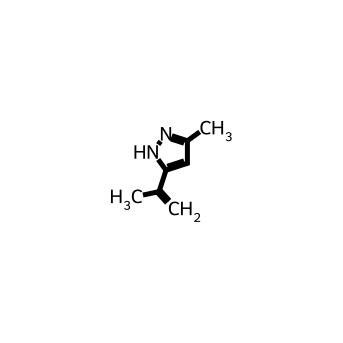 C=C(C)c1cc(C)n[nH]1